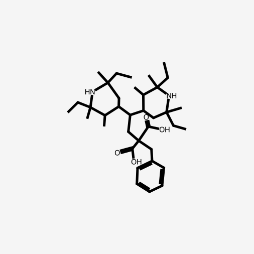 CCC1(C)CC(C(CC(Cc2ccccc2)(C(=O)O)C(=O)O)C2CC(C)(CC)NC(C)(CC)C2C)C(C)C(C)(CC)N1